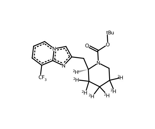 [2H]C1([2H])CN(C(=O)OC(C)(C)C)[C@]([2H])(Cc2cn3cccc(C(F)(F)F)c3n2)C([2H])([2H])C1([2H])[2H]